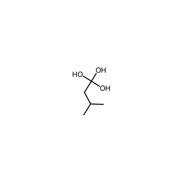 C[C](C)CC(O)(O)O